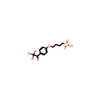 O=C(c1ccc(OCCCCS(=O)(=O)O)cc1)C(Br)(Br)Br